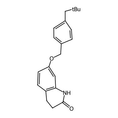 CC(C)(C)Cc1ccc(COc2ccc3c(c2)NC(=O)CC3)cc1